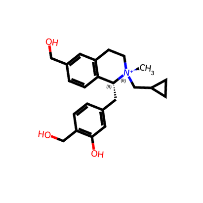 C[N@+]1(CC2CC2)CCc2cc(CO)ccc2[C@H]1Cc1ccc(CO)c(O)c1